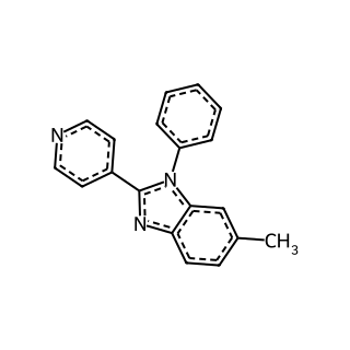 Cc1ccc2nc(-c3ccncc3)n(-c3ccccc3)c2c1